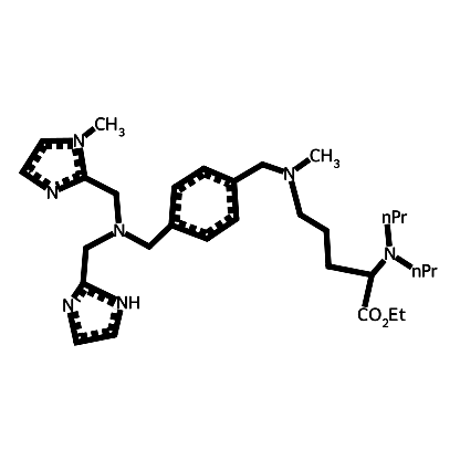 CCCN(CCC)C(CCCN(C)Cc1ccc(CN(Cc2ncc[nH]2)Cc2nccn2C)cc1)C(=O)OCC